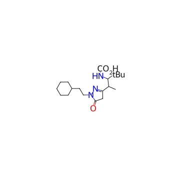 CC(C1=NN(CCC2CCCCC2)C(=O)C1)C(NC(=O)O)C(C)(C)C